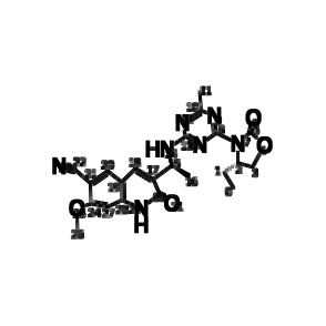 CC[C@H]1COC(=O)N1c1nc(C)nc(N[C@@H](C)c2cc3cc(C#N)c(OC)cc3[nH]c2=O)n1